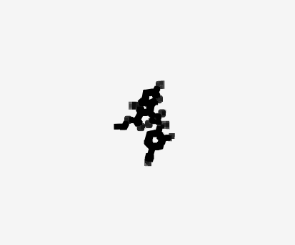 CCOC(=O)c1[nH]c2cc(Cl)oc2c1S(=O)(=O)Nc1ccc(C#N)cc1F